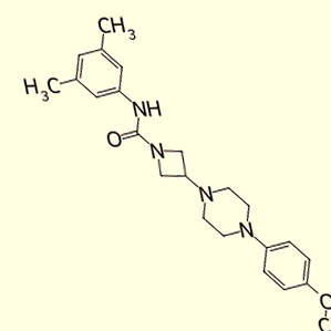 Cc1cc(C)cc(NC(=O)N2CC(N3CCN(c4ccc(OC(F)(F)F)cc4)CC3)C2)c1